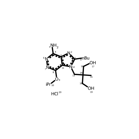 CCCCc1nc2c(N)nnc(OC(C)C)c2n1CC(C)(CO)CO.Cl